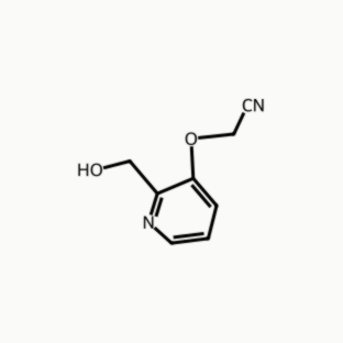 N#CCOc1cccnc1CO